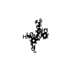 CNC(=O)c1cc(C=NOC)cc(C)c1NC(=O)c1cc(OCC(F)F)nn1-c1ncccc1Cl